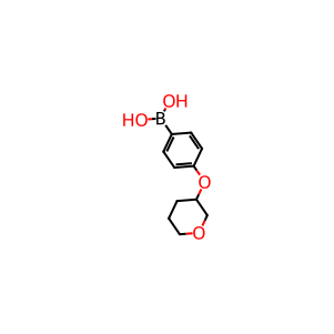 OB(O)c1ccc(OC2CCCOC2)cc1